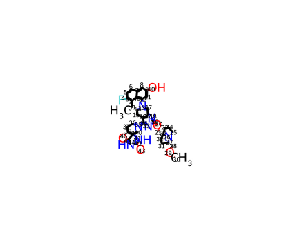 CCc1c(F)ccc2cc(O)cc(N3CCc4c(nc(OC[C@]56CCCN5[C@H](COC)CC6)nc4N4CCCC5(C4)NC(=O)NC5=O)C3)c12